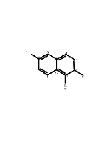 Cc1ccc2cc(F)ccc2c1S